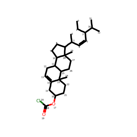 CCC(/C=C\C(C)C1CCC2C3CC=C4CC(OC(=O)Cl)CCC4(C)C3CCC12C)C(C)C